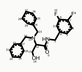 O=C(NCc1ccc(F)c(F)c1)C(CO)N(Cc1ccccc1)Cc1ccccc1